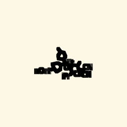 CCCCCCCCC1CCC(C(CC)(OC(CC(C)C=C(C#N)C#N)[C@@H](C#N)C(C)C)C2CCC(C)CC2)CC1